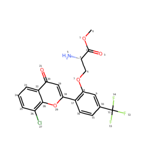 COC(=O)[C@@H](N)COc1cc(C(F)(F)F)ccc1-c1cc(=O)c2cccc(Cl)c2o1